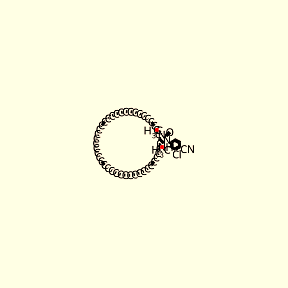 Cc1c(N2C(=N)C3(CCCCCCCCCCCCCCCCCCCCCCCCCCCCCCCCCCCCCCCCC3)N(C)C2=O)ccc(C#N)c1Cl